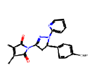 COc1ccc(C2CC(N3C(=O)C(C)=C(C)C3=O)=NN2c2ccccn2)cc1